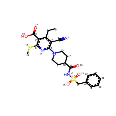 CCc1c(C#N)c(N2CCC(C(=O)NS(=O)(=O)Cc3ccccc3)CC2)nc(SC)c1C(=O)O